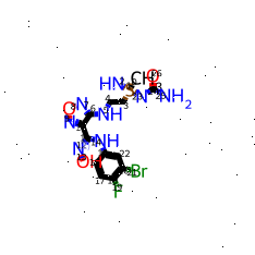 CS(=N)(CCNc1nonc1/C(=N/O)Nc1ccc(F)c(Br)c1)=NC(N)=O